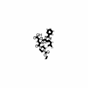 CCOC(=O)N1CCN(C(=O)C(CCC(=O)O)NC(=O)c2cc(CC(C)C)nc(-c3ccccc3)n2)CC1